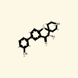 CC(=O)[C@@H]1C(=O)c2cc(-c3cccc(C#N)c3)ccc2OC12CCNCC2